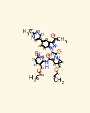 C=CCOCC12CC1N(C(=O)Cn1nc(C(C)=O)c3cc(-c4cnc(C)nc4)ccc31)[C@H](C(=O)Nc1nc(Br)ccc1COCC)C2